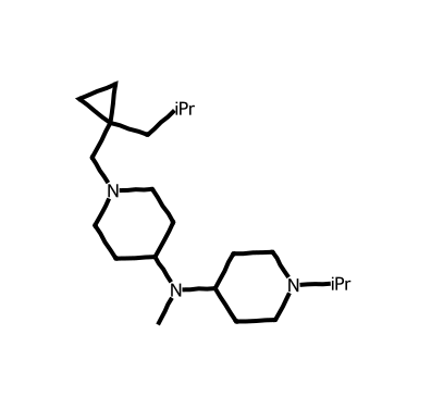 CC(C)CC1(CN2CCC(N(C)C3CCN(C(C)C)CC3)CC2)CC1